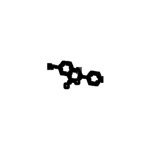 O=c1oc(-c2ccncc2)nc2ccc(Br)cc12